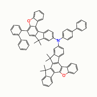 CC1(C)c2cc(N(c3ccc(-c4ccccc4)cc3)c3ccc4c(c3)C(C)(C)c3c5c(c6oc7ccccc7c6c3-4)-c3ccccc3C5(C)C)ccc2-c2c1cc(-c1ccccc1-c1ccccc1)c1oc3ccccc3c21